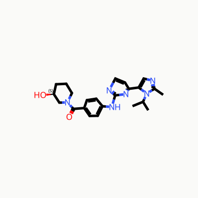 Cc1ncc(-c2ccnc(Nc3ccc(C(=O)N4CCC[C@H](O)C4)cc3)n2)n1C(C)C